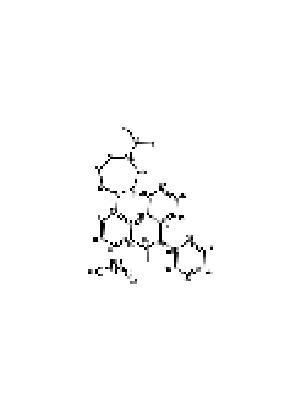 CC(C)N1CCCN(c2ccc([N+](=O)[O-])c(NC(c3ccccc3)c3ccccc3)c2)CC1